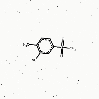 Cc1ccc(S(C)(=O)=O)cc1C#N